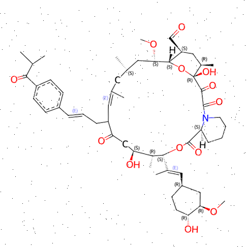 CO[C@H]1C[C@@H](C)C/C(C)=C/C(C/C=C/c2ccc(C(=O)C(C)C)cc2)C(=O)C[C@H](O)[C@@H](C)[C@@H](/C(C)=C/[C@@H]2CC[C@@H](O)[C@H](OC)C2)OC(=O)[C@@H]2CCCCN2C(=O)C(=O)[C@]2(O)O[C@H]1[C@@H](C=O)C[C@H]2C